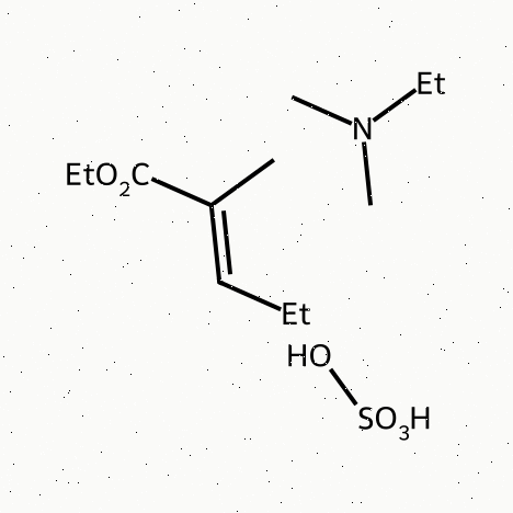 CCC=C(C)C(=O)OCC.CCN(C)C.O=S(=O)(O)O